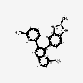 Cc1cccc(-c2nc3scc(C)n3c2-c2ccc3c(c2)NN(C)N3)n1